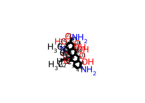 C=C1c2ccc(N)c(O)c2C(=O)C2=C(O)[C@]3(O)C(=O)C(C(N)=O)=C(O)[C@@H](N(C)C)[C@@H]3[C@H](OC(=O)CC)[C@H]12